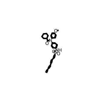 C#CC#CC#CC#CS(=O)(=O)Nc1ccc(N(C(=O)C2CCCCC2)c2ccc(OC)cc2)cc1